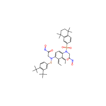 C/C=c1/c(N(CC(=O)N=O)Sc2ccc(C(C)(C)C)c(C(C)(C)C)c2)ccc(N(CC(=O)N=O)S(=O)(=O)c2ccc3c(c2)C(C)(C)CCC3(C)C)/c1=C/C